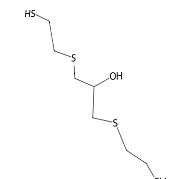 OC(CSCCS)CSCCS